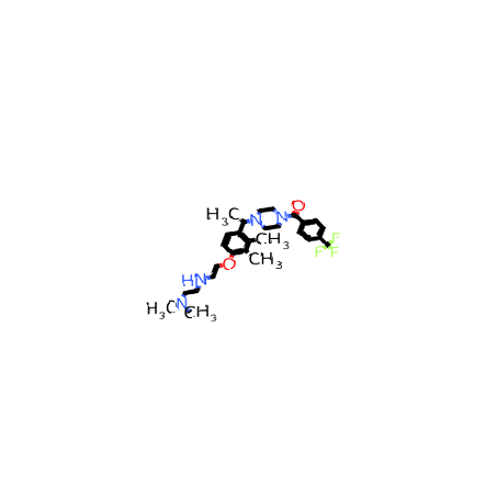 Cc1c(OCCNCCN(C)C)ccc(C(C)N2CCN(C(=O)c3ccc(C(F)(F)F)cc3)CC2)c1C